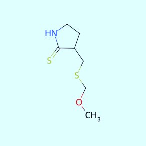 COCSCC1CCNC1=S